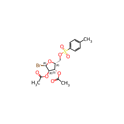 CC(=O)O[C@@H]1[C@@H](OC(C)=O)[C@@H](COS(=O)(=O)c2ccc(C)cc2)O[C@@H]1Br